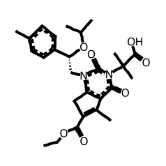 CCOC(=O)C1=C(C)c2c(n(C[C@@H](OC(C)C)c3ccc(C)cc3)c(=O)n(C(C)(C)C(=O)O)c2=O)C1